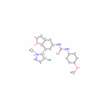 COc1ccc(NC(=O)Nc2cc(-c3c(Br)cnn3C)c3occc3c2)cc1